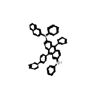 c1ccc(Nc2ccc3c(-c4ccccc4)c4cc(N(c5ccccc5)c5ccc6ccccc6c5)ccc4c(-c4ccc(-c5ccccc5)cc4)c3c2)cc1